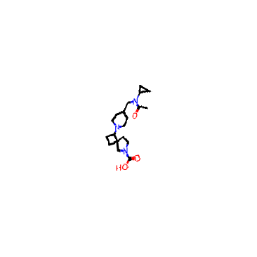 CC(=O)N(CC1CCN(C2CCC23CCN(C(=O)O)C3)CC1)C1CC1